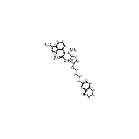 Cc1nn(C)c2c([C@H](C(=O)O)N(C)[C@H]3CC[C@H](OCCCCc4ccc5c(n4)NCCC5)C3)cccc12